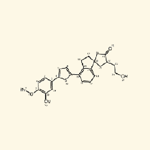 CC(C)Oc1ccc(-c2ccc(-c3cccc4c3CC[C@]43CC(=O)C(CCO)C3)s2)cc1C#N